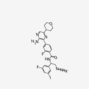 [N-]=[N+]=NCC(NC(=O)c1ccc(-c2nc(C3CCOCC3)cnc2N)cc1F)c1cc(F)cc(I)c1